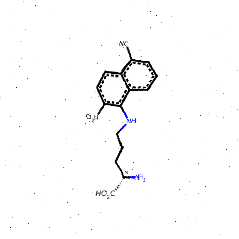 N#Cc1cccc2c(NCCC[C@H](N)C(=O)O)c([N+](=O)[O-])ccc12